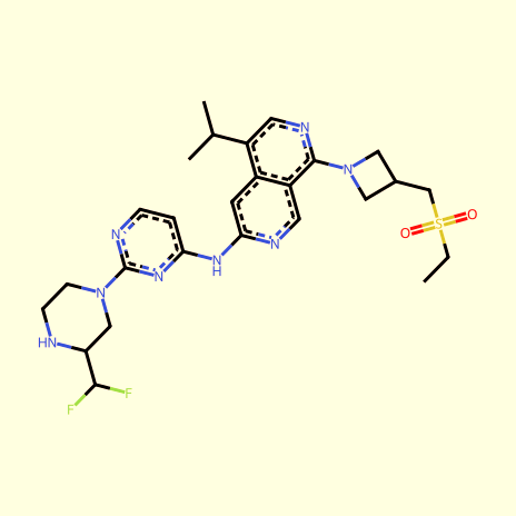 CCS(=O)(=O)CC1CN(c2ncc(C(C)C)c3cc(Nc4ccnc(N5CCNC(C(F)F)C5)n4)ncc23)C1